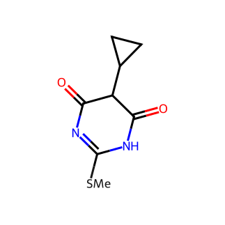 CSC1=NC(=O)C(C2CC2)C(=O)N1